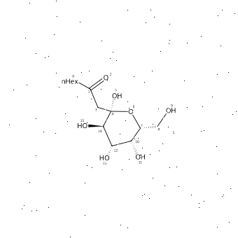 CCCCCCC(=O)C[C@@]1(O)O[C@H](CO)[C@H](O)[C@H](O)[C@H]1O